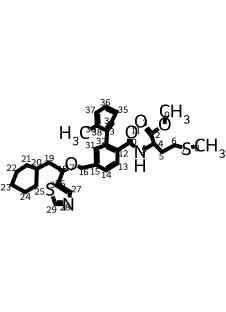 COC(=O)C(CCSC)NC(=O)c1ccc(COC(CC2CCCCC2)c2cncs2)cc1-c1ccccc1C